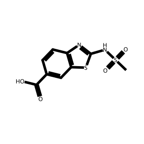 CS(=O)(=O)Nc1nc2ccc(C(=O)O)cc2s1